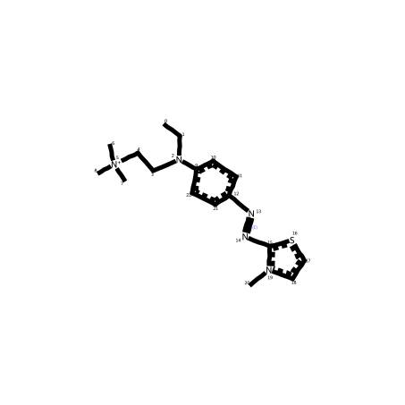 CCN(CC[N+](C)(C)C)c1ccc(/N=N/c2scc[n+]2C)cc1